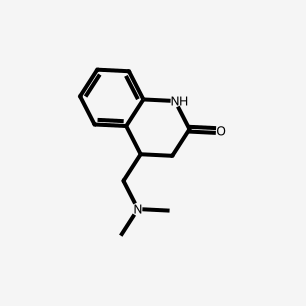 CN(C)CC1CC(=O)Nc2ccccc21